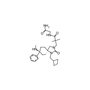 CN[C@]1(c2ccccc2)CC[C@]2(CC1)CN(CC(C)(C)C(=O)NCC(N)=O)C(=O)N2CC1CCC1